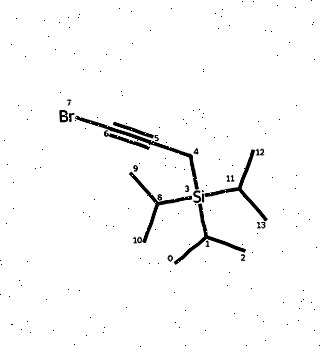 CC(C)[Si](CC#CBr)(C(C)C)C(C)C